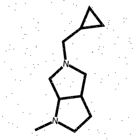 CN1CCC2CN(CC3CC3)CC21